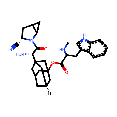 CNC(Cc1c[nH]c2ccccc12)C(=O)OC12CC3C[C@H](C1)CC([C@H](N)C(=O)N1C4CC4C[C@H]1C#N)(C3)C2